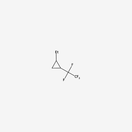 CCC1CC1C(F)(F)C(F)(F)F